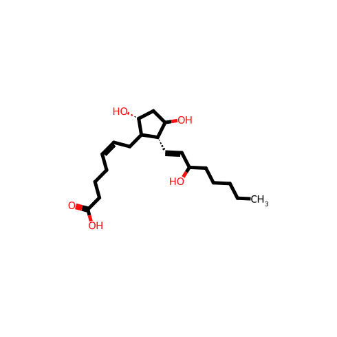 CCCCCC(O)/C=C/[C@H]1C(O)C[C@@H](O)C1C/C=C\CCCC(=O)O